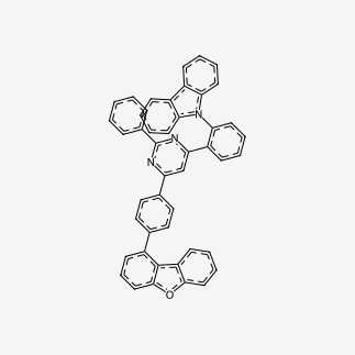 c1ccc(-c2nc(-c3ccc(-c4cccc5oc6ccccc6c45)cc3)cc(-c3ccccc3-n3c4ccccc4c4ccccc43)n2)cc1